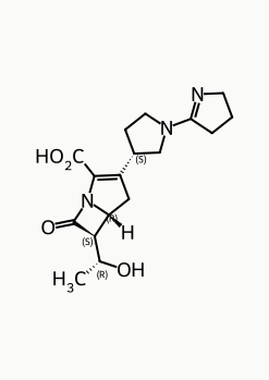 C[C@@H](O)[C@H]1C(=O)N2C(C(=O)O)=C([C@@H]3CCN(C4=NCCC4)C3)C[C@H]12